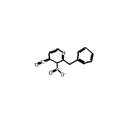 O=C=C1C=CN=C(Cc2ccccc2)C1[N+](=O)[O-]